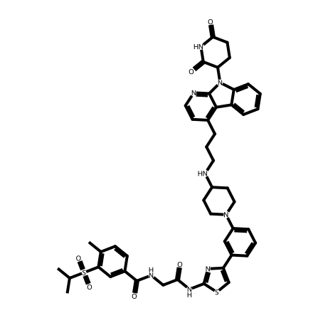 Cc1ccc(C(=O)NCC(=O)Nc2nc(-c3cccc(N4CCC(NCCCc5ccnc6c5c5ccccc5n6C5CCC(=O)NC5=O)CC4)c3)cs2)cc1S(=O)(=O)C(C)C